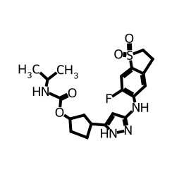 CC(C)NC(=O)OC1CCC(c2cc(Nc3cc4c(cc3F)S(=O)(=O)CC4)n[nH]2)C1